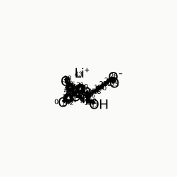 COc1ccc(C(OCCN(CCO)C(=O)CCCCCCCCC(=O)[O-])(c2ccccc2)c2ccc(OC)cc2)cc1.[Li+]